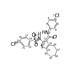 O=C(Nc1ccc(Cl)cc1)c1c(NS(=O)(=O)c2ccc(Cl)cc2)sc2c1CCCCC2